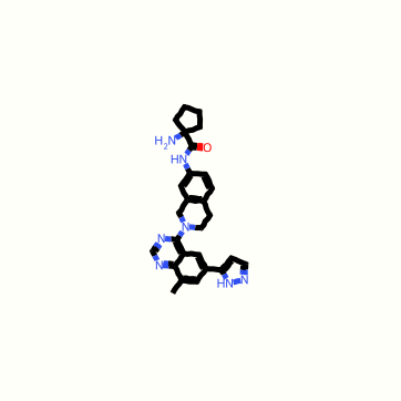 Cc1cc(-c2ccn[nH]2)cc2c(N3CCc4ccc(NC(=O)C5(N)CCCC5)cc4C3)ncnc12